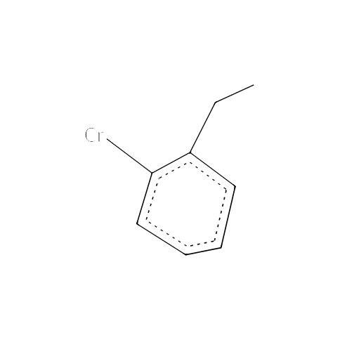 CCc1cccc[c]1[Cr]